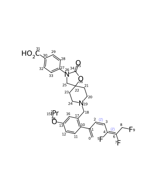 C=C(/C=C\C(F)=C(\F)CF)c1ccc(OC(C)C)cc1CN1CCC2(CC1)CN(c1ccc(C(=O)O)cc1)C(=O)O2